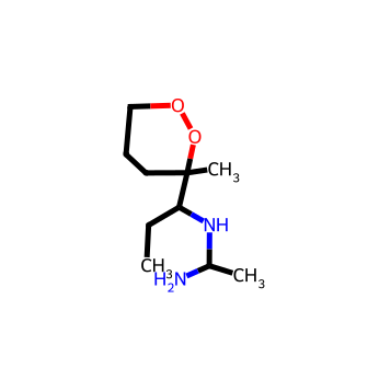 CCC(NC(C)N)C1(C)CCCOO1